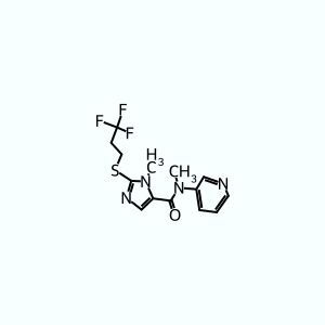 CN(C(=O)c1cnc(SCCC(F)(F)F)n1C)c1cccnc1